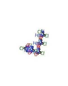 COc1ccc(-c2cc(Cl)cc3c(C)c4n(c23)CCNC4=O)cn1.Cc1c2n(c3c(-c4ccc(Cl)nc4)cc(Cl)cc13)CCNC2=O.Cc1c2n(c3c(-c4ccc(F)nc4)cc(Cl)cc13)CCNC2=O.Cc1c2n(c3c(-c4cccnc4)cc(Cl)cc13)CCNC2=O.Cc1c2n(c3c(-c4ccnc(Cl)c4)cc(Cl)cc13)CCNC2=O